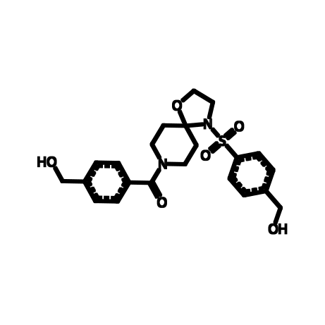 O=C(c1ccc(CO)cc1)N1CCC2(CC1)OCCN2S(=O)(=O)c1ccc(CO)cc1